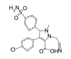 CN1C(c2ccc(S(N)(=O)=O)cc2)C(c2ccc(Cl)cc2)=C(C(=O)O)N1CC#N